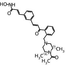 CC(=O)N1[C@H](C)CN(Cc2ccccc2C(=O)C=Cc2cccc(C=CC(=O)NO)c2)C[C@@H]1C